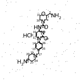 Cl.NCC1CN(C(=O)Nc2ccn(-c3ccc(CN4CCC(N)CC4)cc3)c(=O)n2)CCO1